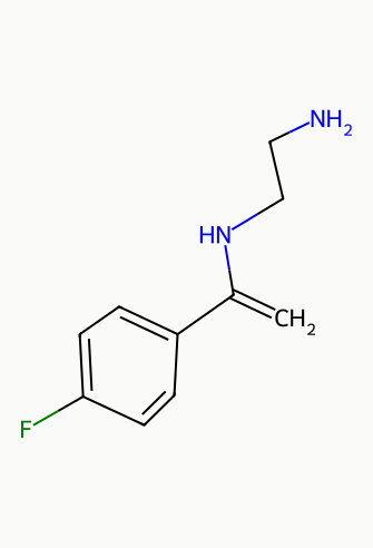 C=C(NCCN)c1ccc(F)cc1